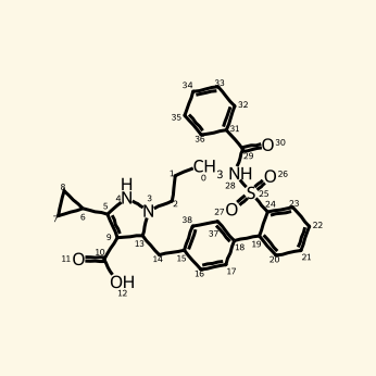 CCCN1NC(C2CC2)=C(C(=O)O)C1Cc1ccc(-c2ccccc2S(=O)(=O)NC(=O)c2ccccc2)cc1